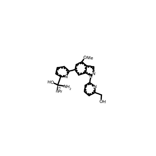 CCC[C@@](N)(O)c1cccc(-c2cc(OC)c3cnn(-c4cccc(CO)n4)c3c2)n1